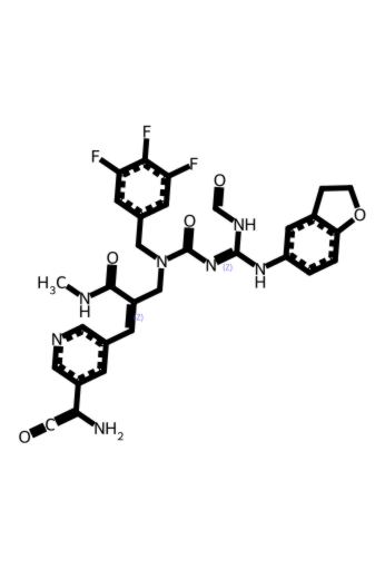 CNC(=O)/C(=C\c1cncc(C(N)=C=O)c1)CN(Cc1cc(F)c(F)c(F)c1)C(=O)/N=C(\NC=O)Nc1ccc2c(c1)CCO2